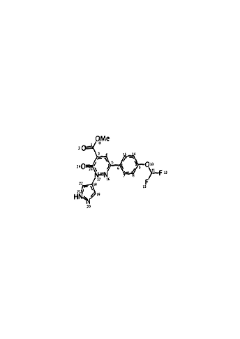 COC(=O)c1cc(-c2ccc(OC(F)F)cc2)nn(-c2cn[nH]c2)c1=O